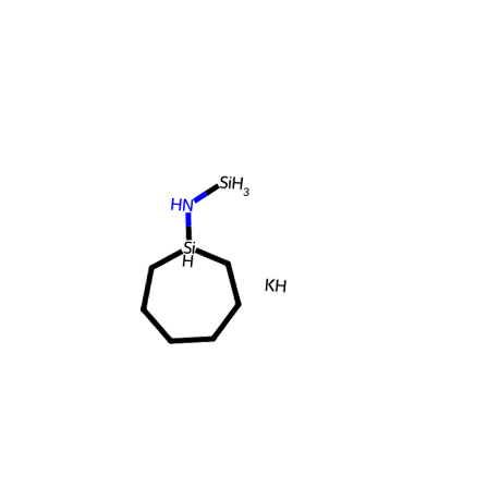 [KH].[SiH3]N[SiH]1CCCCCC1